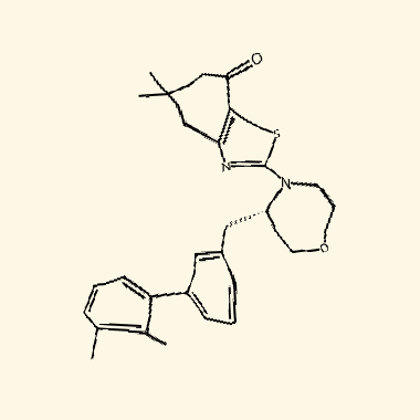 Cc1cccc(-c2cccc(C[C@H]3COCCN3c3nc4c(s3)C(=O)CC(C)(C)C4)c2)c1C